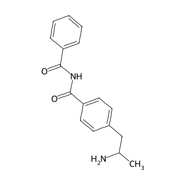 CC(N)Cc1ccc(C(=O)NC(=O)c2ccccc2)cc1